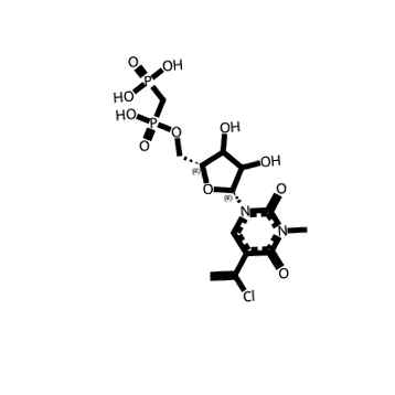 C=C(Cl)c1cn([C@@H]2O[C@H](COP(=O)(O)CP(=O)(O)O)C(O)C2O)c(=O)n(C)c1=O